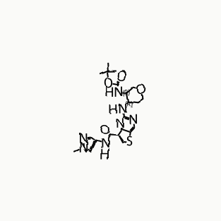 Cn1cc(NC(=O)c2csc3cnc(N[C@@H]4CCOC[C@@H]4NC(=O)OC(C)(C)C)nc23)cn1